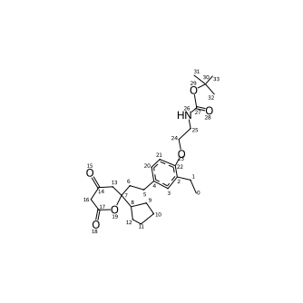 CCc1cc(CCC2(C3CCCC3)CC(=O)CC(=O)O2)ccc1OCCNC(=O)OC(C)(C)C